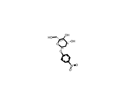 O=[N+]([O-])c1ccc(O[C@H]2C[C@@H](O)[C@H](O)[C@@H](CO)O2)cc1